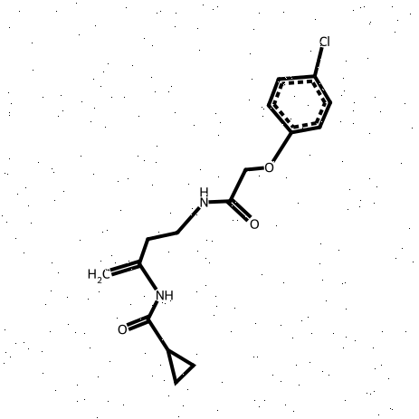 C=C(CCNC(=O)COc1ccc(Cl)cc1)NC(=O)C1CC1